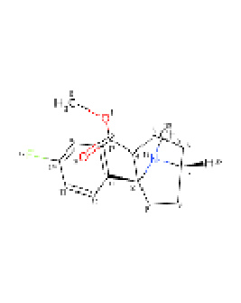 COC(=O)C1CC[C@@H]2CC[C@@]1(c1ccc(F)cc1)N2C